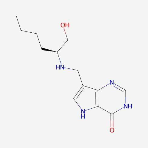 CCCC[C@@H](CO)NCc1c[nH]c2c(=O)[nH]cnc12